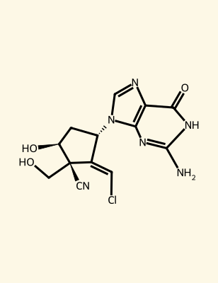 N#C[C@]1(CO)/C(=C\Cl)[C@@H](n2cnc3c(=O)[nH]c(N)nc32)C[C@@H]1O